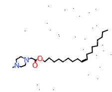 CCCCCCCC/C=C\CCCCCCCCOC(=O)CN1CCN(C)CC1